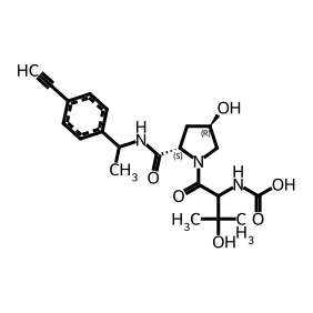 C#Cc1ccc(C(C)NC(=O)[C@@H]2C[C@@H](O)CN2C(=O)C(NC(=O)O)C(C)(C)O)cc1